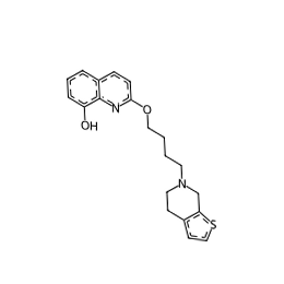 Oc1cccc2ccc(OCCCCN3CCc4ccsc4C3)nc12